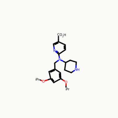 CC(C)Oc1cc(CN(c2ccc(C(=O)O)cn2)C2CCNCC2)cc(OC(C)C)c1